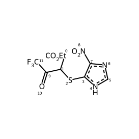 CCOC(=O)C(Sc1[nH]cnc1[N+](=O)[O-])C(=O)C(F)(F)F